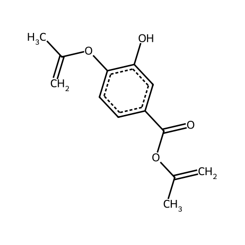 C=C(C)OC(=O)c1ccc(OC(=C)C)c(O)c1